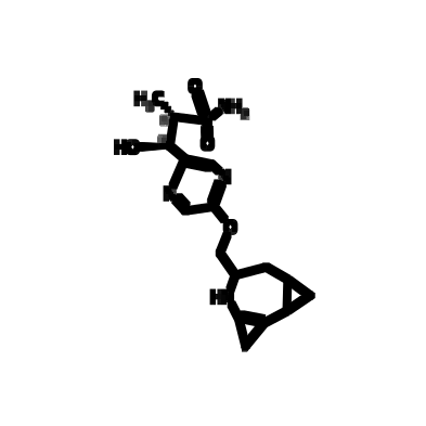 C[C@@H]([C@H](O)c1cnc(OCC2CC3CC3C3=C(C3)N2)cn1)S(N)(=O)=O